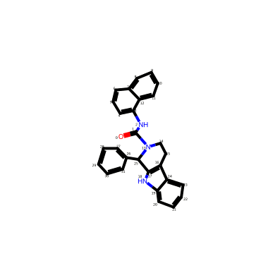 O=C(Nc1cccc2ccccc12)N1CCc2c([nH]c3ccccc23)C1c1ccccc1